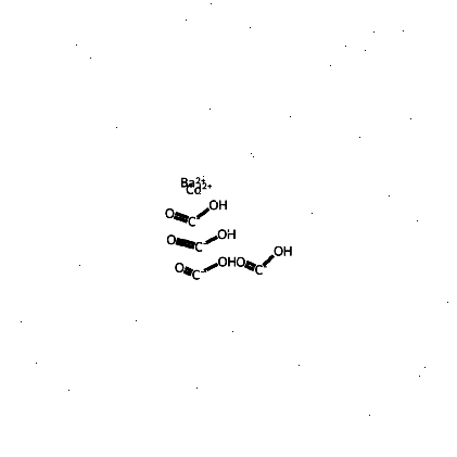 O=[C-]O.O=[C-]O.O=[C-]O.O=[C-]O.[Ba+2].[Cd+2]